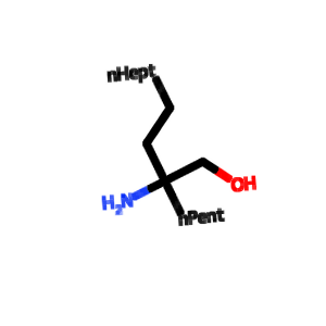 CCCCCCCCCC(N)(CO)CCCCC